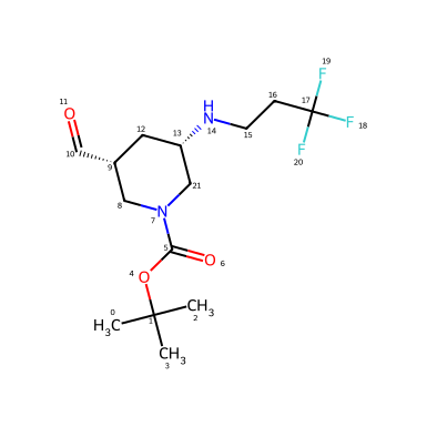 CC(C)(C)OC(=O)N1C[C@H](C=O)C[C@H](NCCC(F)(F)F)C1